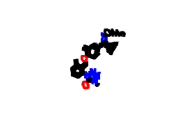 CON=C(C1=CC(C)=C(OCc2c(C)cccc2-n2nnn(C)c2=O)CC1)C1CC1